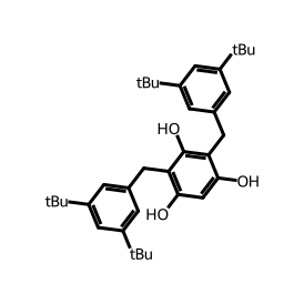 CC(C)(C)c1cc(Cc2c(O)cc(O)c(Cc3cc(C(C)(C)C)cc(C(C)(C)C)c3)c2O)cc(C(C)(C)C)c1